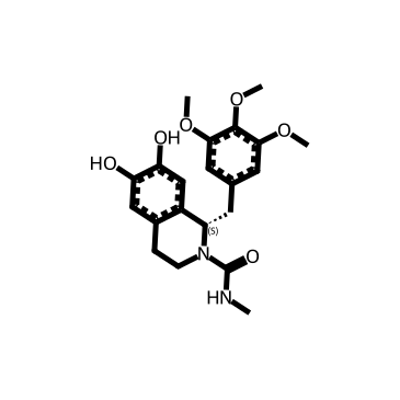 CNC(=O)N1CCc2cc(O)c(O)cc2[C@@H]1Cc1cc(OC)c(OC)c(OC)c1